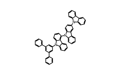 c1ccc(-c2cc(-c3ccccc3)cc(-n3c4ccccc4c4c(-n5c6ccccc6c6cc(-n7c8ccccc8c8ccccc87)ccc65)cccc43)c2)cc1